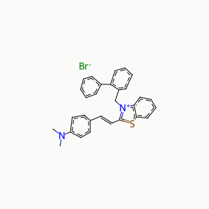 CN(C)c1ccc(/C=C/c2sc3ccccc3[n+]2Cc2ccccc2-c2ccccc2)cc1.[Br-]